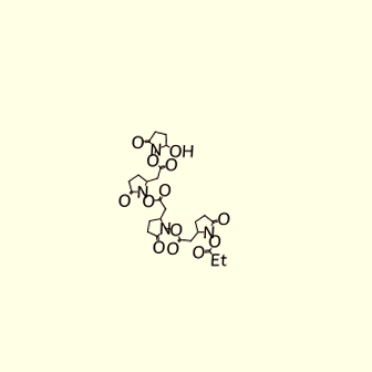 CCC(=O)ON1C(=O)CCC1CC(=O)ON1C(=O)CCC1CC(=O)ON1C(=O)CCC1CC(=O)ON1C(=O)CCC1O